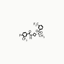 CC([C@H]1C[C@H](NC(=O)c2ccc(F)c(C(F)(F)F)c2)C1)S(=O)(=O)c1cccc(C(F)(F)F)c1